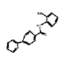 Nc1ccccc1NC(=O)c1ccc(-c2ccccn2)cc1